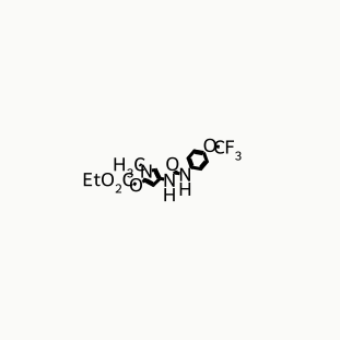 CCOC(=O)Oc1cc(NC(=O)Nc2ccc(OC(F)(F)F)cc2)cn1C